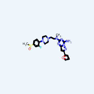 CN(CCN1CCN(c2ccc([S+](C)[O-])cc2F)CC1)c1nc(N)n2nc(-c3ccco3)cc2n1